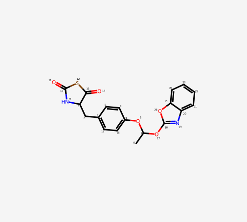 CC(Oc1ccc(CC2NC(=O)SC2=O)cc1)Oc1nc2ccccc2o1